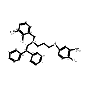 O=[N+]([O-])c1cc(OCCCN(Cc2cccc(C(F)(F)F)c2Cl)CC(c2ccccc2)c2ccccc2)ccc1Cl